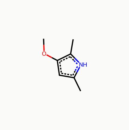 COc1cc(C)[nH]c1C